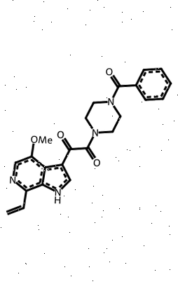 C=Cc1ncc(OC)c2c(C(=O)C(=O)N3CCN(C(=O)c4ccccc4)CC3)c[nH]c12